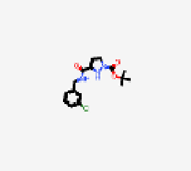 CC(C)(C)OC(=O)N1CCC(C(=O)NCc2cccc(Cl)c2)N1